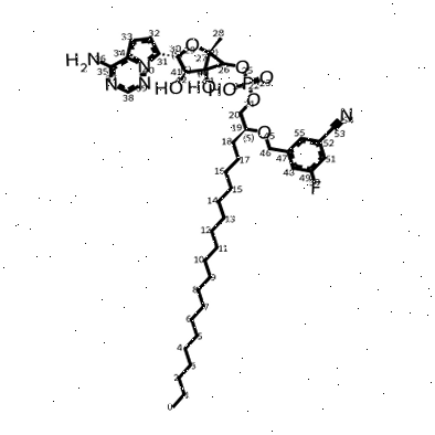 CCCCCCCCCCCCCCCCCCC[C@@H](COP(=O)(O)OC1[C@@]2(C)O[C@@H](c3ccc4c(N)ncnn34)[C@H](O)[C@@]12O)OCc1cc(F)cc(C#N)c1